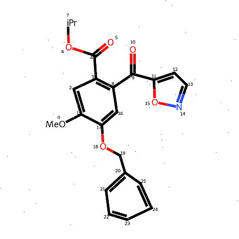 COc1cc(C(=O)OC(C)C)c(C(=O)c2ccno2)cc1OCc1ccccc1